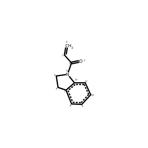 C=CC(=O)N1CCc2ccccc21